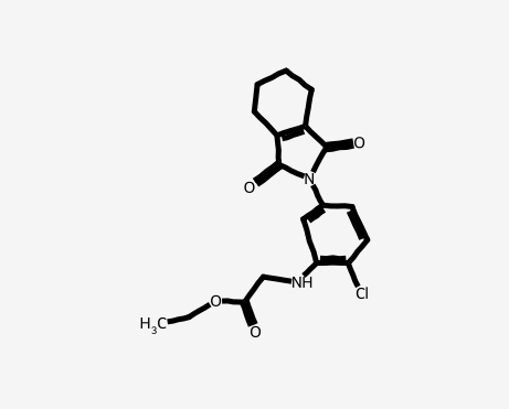 CCOC(=O)CNc1cc(N2C(=O)C3=C(CCCC3)C2=O)ccc1Cl